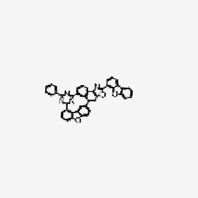 c1ccc(-c2nc(-c3ccccc3)nc(-c3cccc4oc5ccc(-c6ccc7nc(-c8cccc9c8oc8ccccc89)oc7c6)cc5c34)n2)cc1